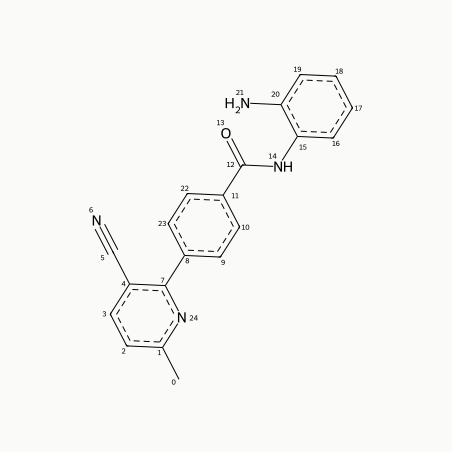 Cc1ccc(C#N)c(-c2ccc(C(=O)Nc3ccccc3N)cc2)n1